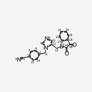 N#Cc1ccc(Cn2cncc2CN2C(=O)C(=O)c3ccccc32)cc1